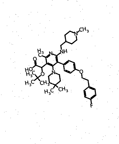 Cc1nc(NCC2CCN(C)CC2)c(-c2ccc(OCCc3ccc(F)cc3)cc2)c(N2CCC(C)(C)CC2)c1C(OC(C)(C)C)C(=O)O